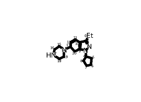 CCc1nn(C2CCCC2)c2c1C=CC(N1CCNCC1)C2